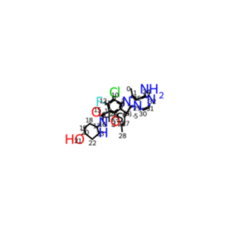 Cc1nc([C@@](C)([SiH3])c2cc(Cl)c(F)c(C(=O)NC3CCC(O)CC3)c2OC(C)C)n2ccnc(N)c12